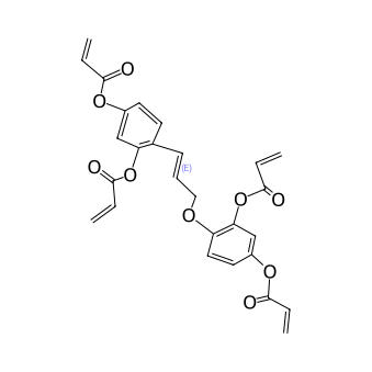 C=CC(=O)Oc1ccc(/C=C/COc2ccc(OC(=O)C=C)cc2OC(=O)C=C)c(OC(=O)C=C)c1